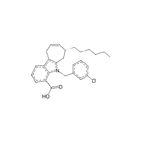 CCCCCCC1C=CCc2c(n(Cc3cccc(Cl)c3)c3c(C(=O)O)cccc23)C1